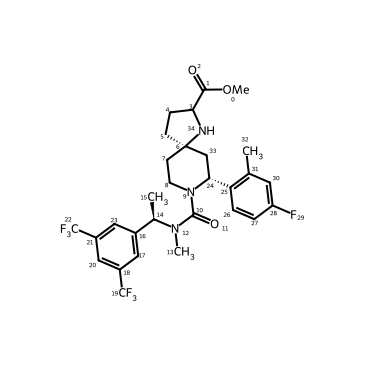 COC(=O)C1CC[C@]2(CCN(C(=O)N(C)[C@H](C)c3cc(C(F)(F)F)cc(C(F)(F)F)c3)[C@@H](c3ccc(F)cc3C)C2)N1